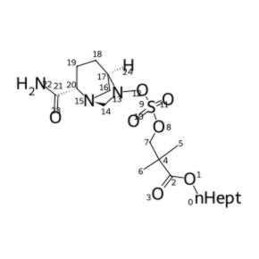 CCCCCCCOC(=O)C(C)(C)COS(=O)(=O)ON1C[N@]2C[C@H]1CC[C@H]2C(N)=O